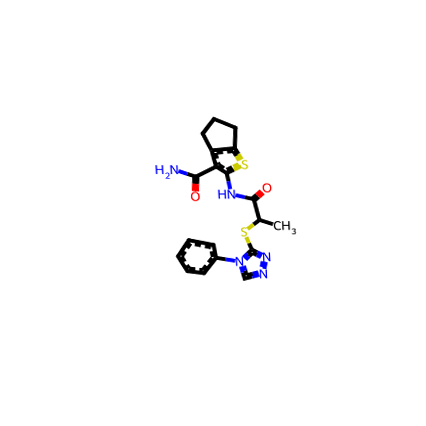 CC(Sc1nncn1-c1ccccc1)C(=O)Nc1sc2c(c1C(N)=O)CCC2